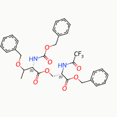 CC(OCc1ccccc1)[C@H](NC(=O)OCc1ccccc1)C(=O)OC[C@H](NC(=O)C(F)(F)F)C(=O)OCc1ccccc1